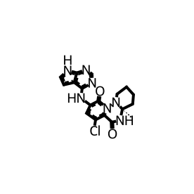 C[C@@]12CCCCN1n1c(c(Cl)cc(Nc3ncnc4[nH]ccc34)c1=O)C(=O)N2